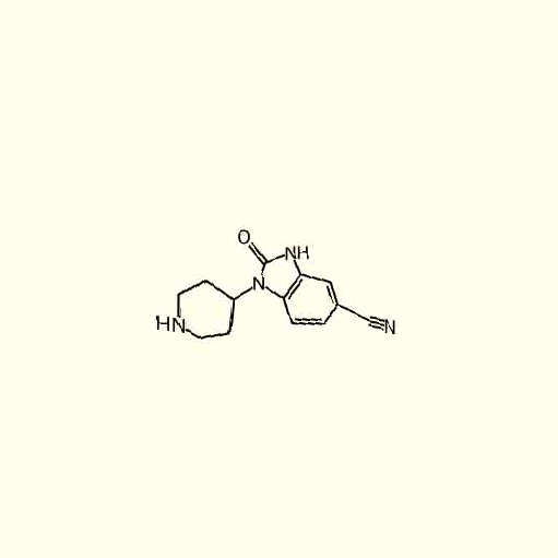 N#Cc1ccc2c(c1)[nH]c(=O)n2C1CCNCC1